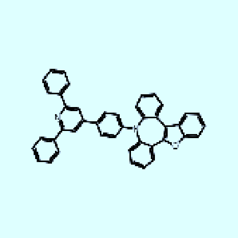 c1ccc(-c2cc(-c3ccc(N4c5ccccc5-c5oc6ccccc6c5-c5ccccc54)cc3)cc(-c3ccccc3)n2)cc1